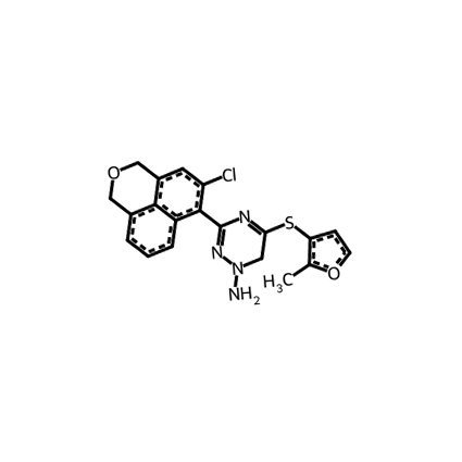 Cc1occc1SC1=NC(c2c(Cl)cc3c4c(cccc24)COC3)=NN(N)C1